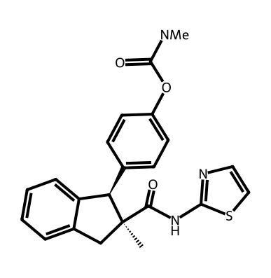 CNC(=O)Oc1ccc([C@@H]2c3ccccc3C[C@]2(C)C(=O)Nc2nccs2)cc1